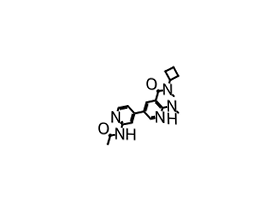 CNc1ncc(-c2ccnc(NC(C)=O)c2)cc1C(=O)N(C)C1CCC1